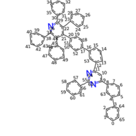 c1ccc(-c2cccc(-c3cc(-c4cccc(-c5ccc(-c6c(-c7ccccc7)c(-c7ccccc7)nc(-c7ccccc7)c6-c6ccccc6)cc5)c4)nc(-c4ccccc4)n3)c2)cc1